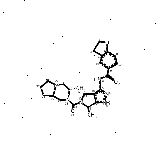 CC1c2[nH]nc(NC(=O)c3ccc4c(c3)CCO4)c2CN1C(=O)N1CC2CCCN2C[C@@H]1C